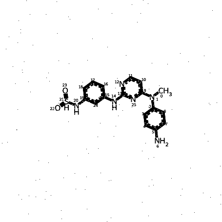 CN(c1ccc(N)cc1)c1ccnc(Nc2cccc(N[SH](=O)=O)c2)n1